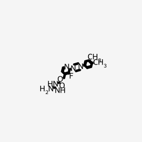 Cc1ccc(N2CCN(c3nccc(COC(=O)NC(=N)N)c3F)CC2)cc1C